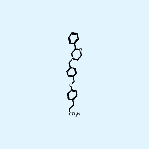 O=C(O)CCc1ccc(OCc2ccc(CN3CCOC(c4ccccc4)C3)cc2)cc1